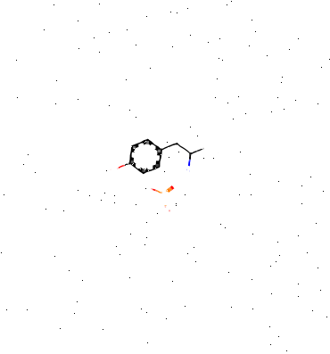 NC(Cc1ccc(O)cc1)C(=O)O.O=[PH](O)O